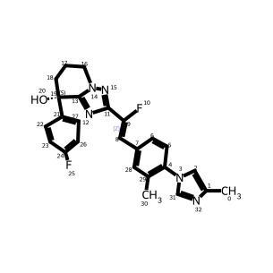 Cc1cn(-c2ccc(/C=C(\F)c3nc4n(n3)CCC[C@]4(O)c3ccc(F)cc3)cc2C)cn1